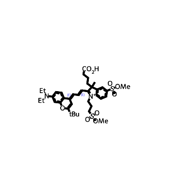 CCN(CC)c1ccc2c(c1)OC(C(C)(C)C)=C/C2=C\C=C\C1=[N+](CCCS(=O)(=O)OC)c2ccc(S(=O)(=O)OC)cc2C1(C)CCCC(=O)O